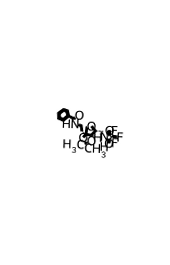 CC1(C)O[C@@H]2[C@@H](CNS(=O)(=O)C(F)(F)F)OC[C@]2(CCNC(=O)c2ccccc2)O1